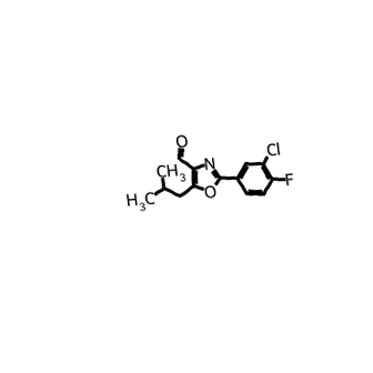 CC(C)Cc1oc(-c2ccc(F)c(Cl)c2)nc1C=O